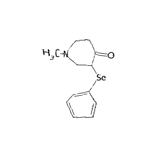 CN1CCC(=O)C([Se]c2ccccc2)C1